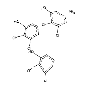 Oc1cccc(Cl)c1Cl.Oc1cccc(Cl)c1Cl.Oc1cccc(Cl)c1Cl.P